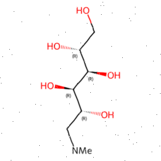 CNC[C@@H](O)[C@@H](O)[C@H](O)[C@H](O)CO